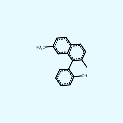 Cc1ccc2ccc(C(=O)O)cc2c1-c1ccccc1O